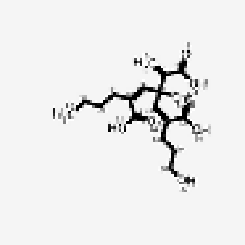 C=C(C(=O)O)C(C)(C=C(CCCC)C(=O)O)C=C(CCCO)C(=O)O